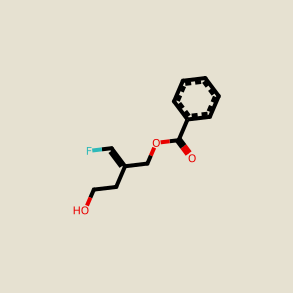 O=C(OCC(=CF)CCO)c1ccccc1